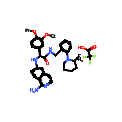 CCOc1cc(C(Nc2ccc3c(N)nccc3c2)C(=O)NCc2ccccc2N2CCCCC2C)ccc1OC(C)C.O=C(O)C(F)(F)F